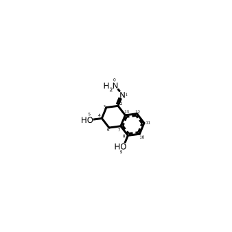 NN=C1CC(O)Cc2c(O)cccc21